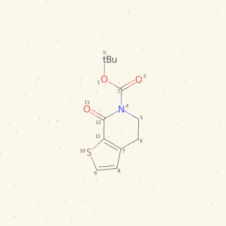 CC(C)(C)OC(=O)N1CCc2ccsc2C1=O